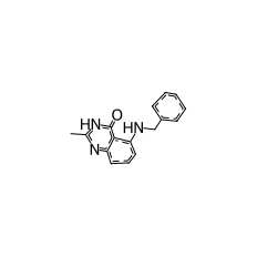 Cc1nc2cccc(NCc3ccccc3)c2c(=O)[nH]1